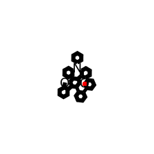 c1ccc(-c2ccccc2-c2c3oc4cccc(N(c5ccccc5)c5ccccc5)c4c3cc3oc4ccccc4c23)cc1